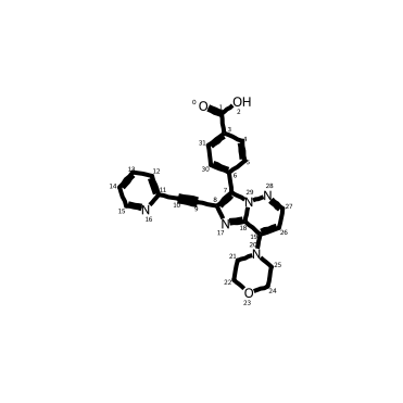 O=C(O)c1ccc(-c2c(C#Cc3ccccn3)nc3c(N4CCOCC4)ccnn23)cc1